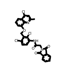 Cc1cc(Cl)c2cccc(OCc3c(Cl)ccc(NC(=O)CN4C(=O)c5ccccc5C4=O)c3Cl)c2n1